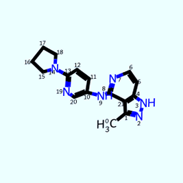 Cc1n[nH]c2ccnc(Nc3ccc(N4CCCC4)nc3)c12